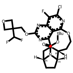 CC(C)(C)OC(=O)N1[C@@H]2CC[C@H]1[C@H]1CCOc3nc(Cl)c(F)c4nc(OCC5(C(F)F)COC5)nc(c34)N1C2